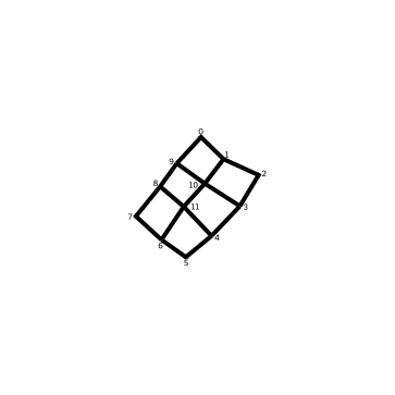 C1C2CC3C4CC5CC6C1C23C564